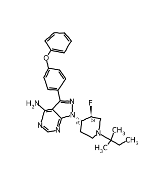 CCC(C)(C)N1CC[C@H](n2nc(-c3ccc(Oc4ccccc4)cc3)c3c(N)ncnc32)[C@@H](F)C1